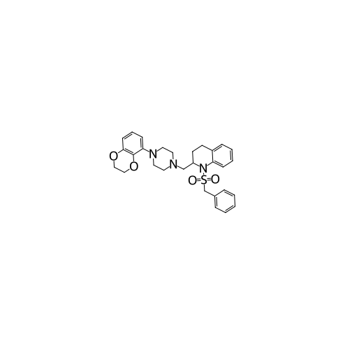 O=S(=O)(Cc1ccccc1)N1c2ccccc2CCC1CN1CCN(c2cccc3c2OCCO3)CC1